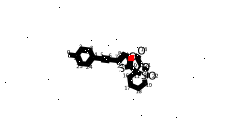 Cc1ccc(C#Cc2ccc([C@@]3(CC(=O)O)CCCCS3(=O)=O)s2)cc1